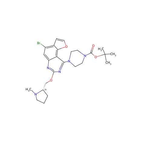 CN1CCC[C@H]1COc1nc(N2CCN(C(=O)OC(C)(C)C)CC2)c2c(cc(Br)c3ccoc32)n1